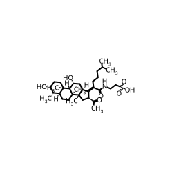 CC(=O)[C@H]1C[C@@]2(C)[C@@H](C[C@@H](O)[C@H]3[C@@]4(C)CC[C@@H](O)[C@@H](C)[C@@H]4CC[C@@]32C)/C1=C(\CCCC(C)C)C(=O)NCCS(=O)(=O)O